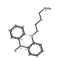 CNCCCCOc1ccccc1C(C)c1ccccc1